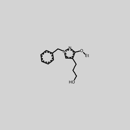 CCOc1nn(Cc2ccccc2)cc1CCCO